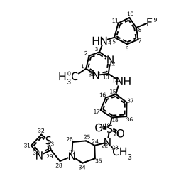 Cc1cc(Nc2ccc(F)cc2)nc(Nc2ccc(S(=O)(=O)N(C)C3CCN(Cc4nccs4)CC3)cc2)n1